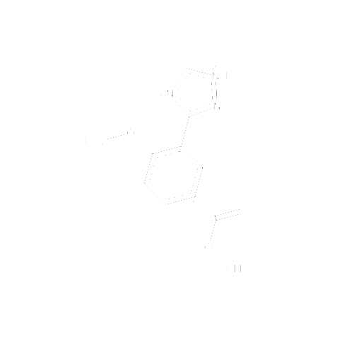 COC(=O)c1ccc(OC)c(-c2nc[nH]n2)c1